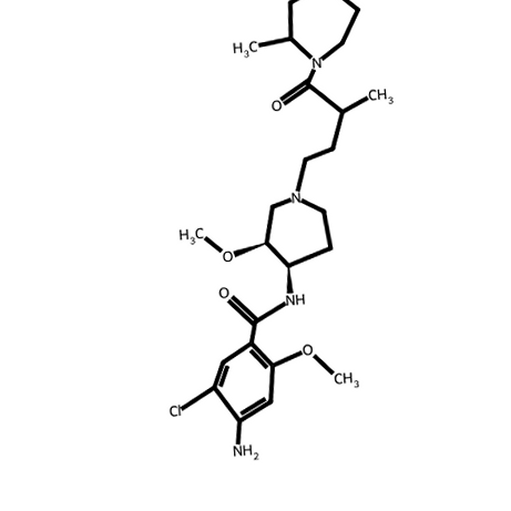 COc1cc(N)c(Cl)cc1C(=O)N[C@@H]1CCN(CCC(C)C(=O)N2CCCCC2C)C[C@@H]1OC